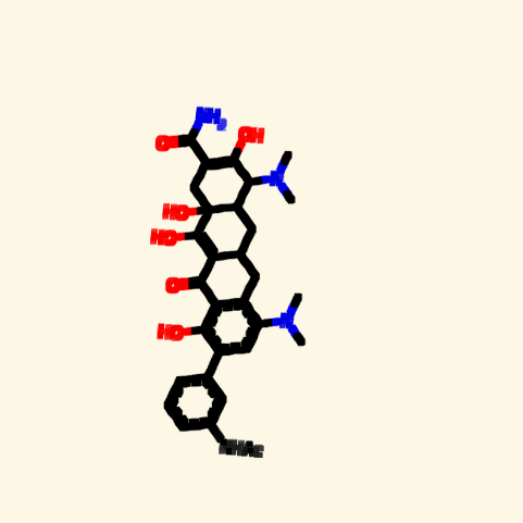 CC(=O)Nc1cccc(-c2cc(N(C)C)c3c(c2O)C(=O)C2=C(O)C4(O)CC(C(N)=O)=C(O)C(N(C)C)C4CC2C3)c1